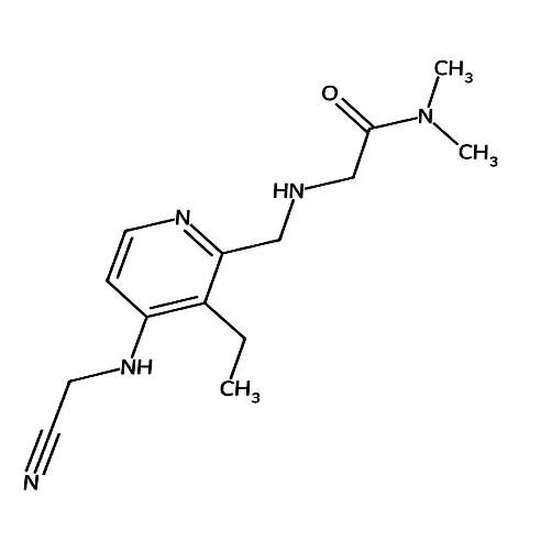 CCc1c(NCC#N)ccnc1CNCC(=O)N(C)C